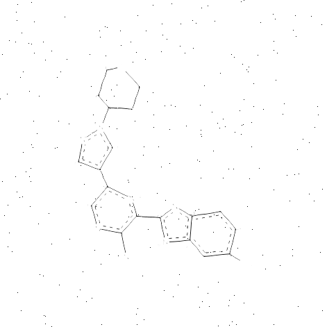 Nc1ncc(-c2cnn(C3CCOCC3)c2)nc1-c1nc2cc(F)ccc2[nH]1